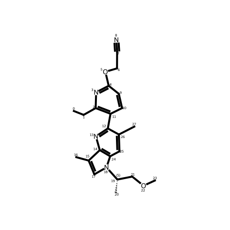 CCc1nc(OCC#N)ccc1-c1nc2c(C)cn([C@@H](C)COC)c2cc1C